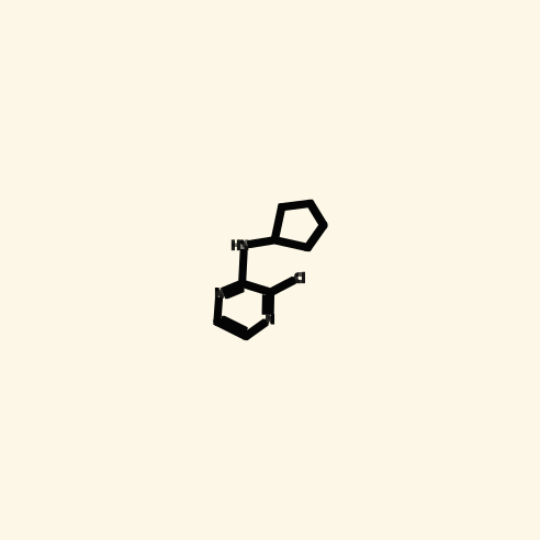 Clc1nccnc1NC1CCCC1